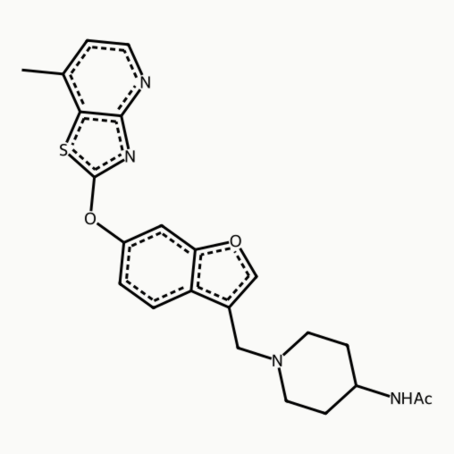 CC(=O)NC1CCN(Cc2coc3cc(Oc4nc5nccc(C)c5s4)ccc23)CC1